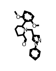 COc1cccc(OC)c1C1CCCC(C=O)N1Cc1cnn(-c2ccccc2)c1